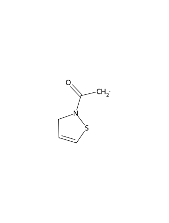 [CH2]C(=O)N1CC=CS1